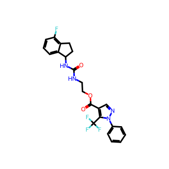 O=C(NCCOC(=O)c1cnn(-c2ccccc2)c1C(F)(F)F)NC1CCc2c(F)cccc21